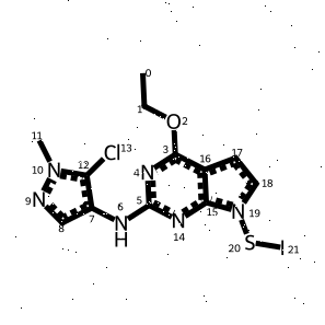 CCOc1nc(Nc2cnn(C)c2Cl)nc2c1ccn2SI